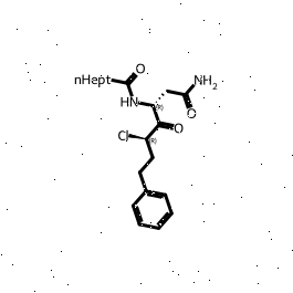 CCCCCCCC(=O)N[C@H](CC(N)=O)C(=O)[C@H](Cl)CCc1ccccc1